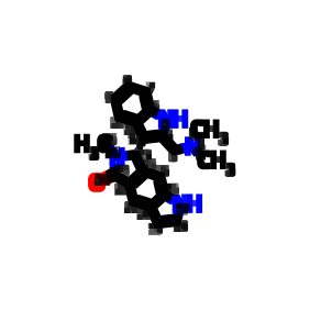 CN(C)Cc1[nH]c2ccccc2c1[C@@H]1c2cc3[nH]ccc3cc2C(=O)N1C